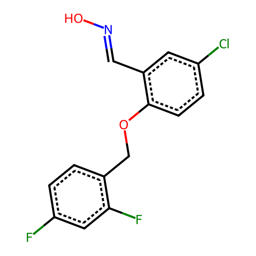 O/N=C/c1cc(Cl)ccc1OCc1ccc(F)cc1F